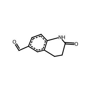 O=Cc1ccc2c(c1)CCC(=O)N2